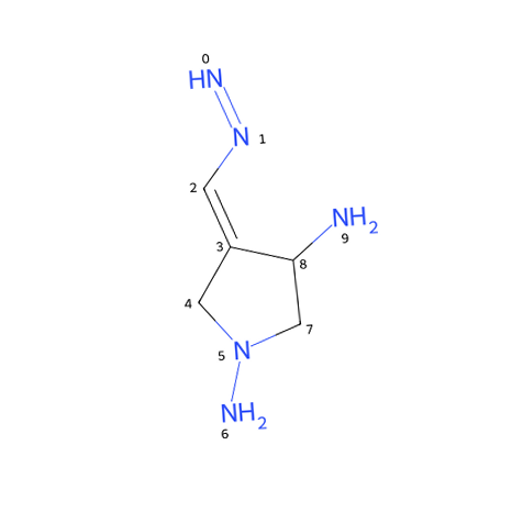 N=N/C=C1/CN(N)CC1N